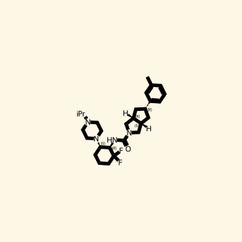 Cc1cccc([C@@H]2C[C@@H]3CN(C(=O)N[C@@H]4[C@@H](N5CCN(C(C)C)CC5)CCCC4(F)F)C[C@@H]3C2)c1